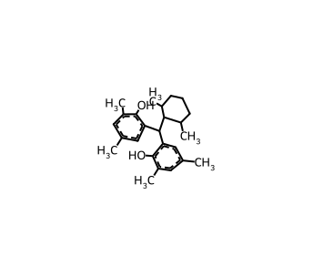 Cc1cc(C)c(O)c(C(c2cc(C)cc(C)c2O)C2C(C)CCCC2C)c1